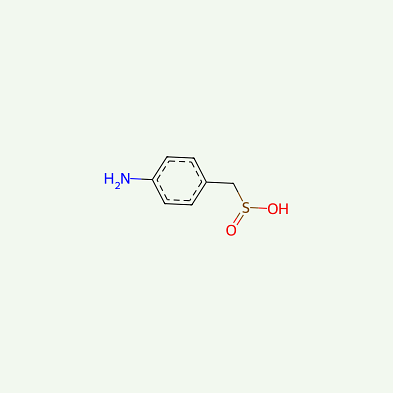 Nc1ccc(CS(=O)O)cc1